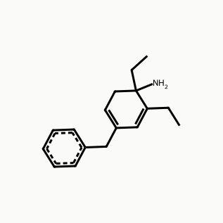 CCC1=CC(Cc2ccccc2)=CCC1(N)CC